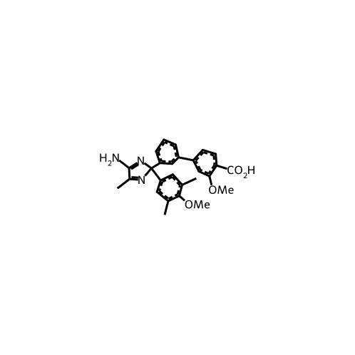 COc1cc(-c2cccc(C3(c4cc(C)c(OC)c(C)c4)N=C(C)C(N)=N3)c2)ccc1C(=O)O